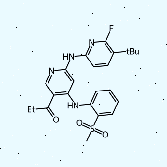 CCC(=O)c1cnc(Nc2ccc(C(C)(C)C)c(F)n2)cc1Nc1ccccc1S(C)(=O)=O